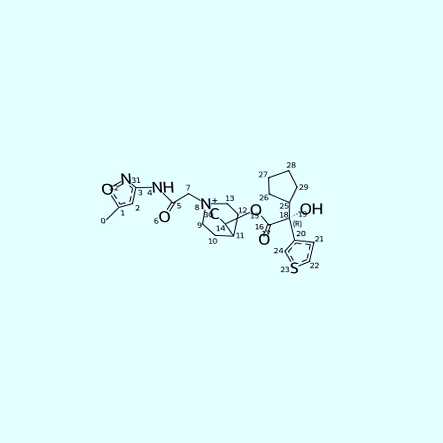 Cc1cc(NC(=O)C[N+]23CCC(CC2)C(OC(=O)[C@](O)(c2ccsc2)C2CCCC2)C3)no1